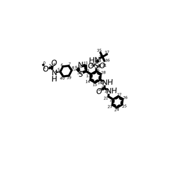 COC(=O)N[C@H]1CC[C@H](c2ncc(-c3ccc(NC(=O)NCc4ccccc4)cc3S(=O)(=O)NC(C)(C)C)s2)CC1